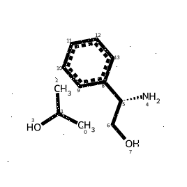 CC(C)O.N[C@H](CO)c1ccccc1